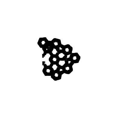 CCc1c(-n2c3ccccc3c3ccc4c5ccccc5oc4c32)c(-c2ccccc2F)cc(-c2ccccc2F)c1-n1c2ccccc2c2ccc3c4ccccc4oc3c21